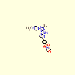 CCc1nc(Nc2nccc(-c3ccc(S(=O)(=O)N4CCOCC4)cc3)n2)nc(N2CCN(C)CC2)n1